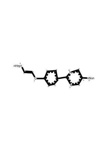 CCCCCCCC=COc1ccc(-c2ncc(CCCCCCCCC)cn2)cc1